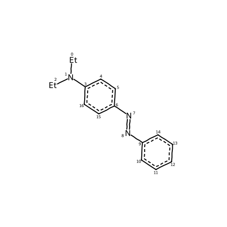 CCN(CC)c1ccc(N=Nc2ccccc2)cc1